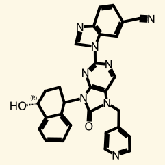 N#Cc1ccc2ncn(-c3ncc4c(n3)n(C3CC[C@@H](O)c5ccccc53)c(=O)n4Cc3ccncc3)c2c1